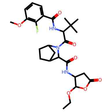 CCOC1OC(=O)CC1NC(=O)C1C2CCC(C2)N1C(=O)C(NC(=O)c1cccc(OC)c1F)C(C)(C)C